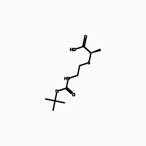 C[C@@H](SCCNC(=O)OC(C)(C)C)C(=O)O